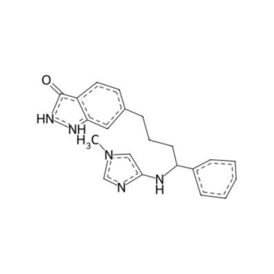 Cn1cnc(NC(CCCc2ccc3c(=O)[nH][nH]c3c2)c2ccccc2)c1